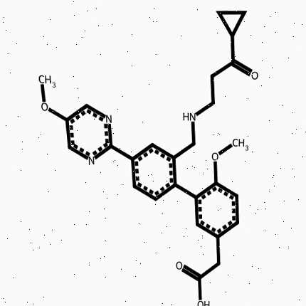 COc1cnc(-c2ccc(-c3cc(CC(=O)O)ccc3OC)c(CNCCC(=O)C3CC3)c2)nc1